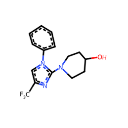 OC1CCN(c2nc(C(F)(F)F)cn2-c2ccccc2)CC1